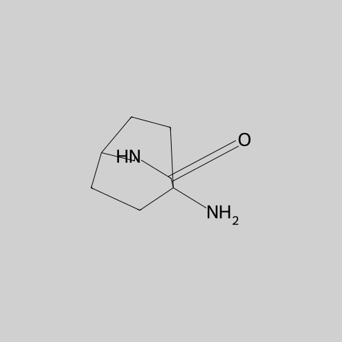 NC12CCC(CC1)CNC2=O